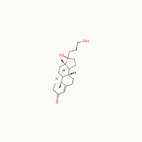 C[C@]12CCC(=O)C=C1CC[C@@H]1[C@@H]2CC[C@@]2(C)[C@H]1CC[C@@]2(O)CCCO